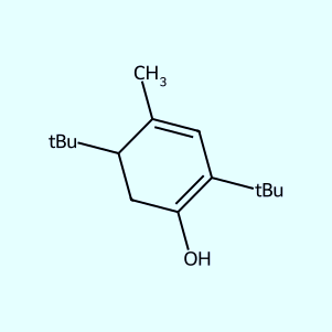 CC1=CC(C(C)(C)C)=C(O)CC1C(C)(C)C